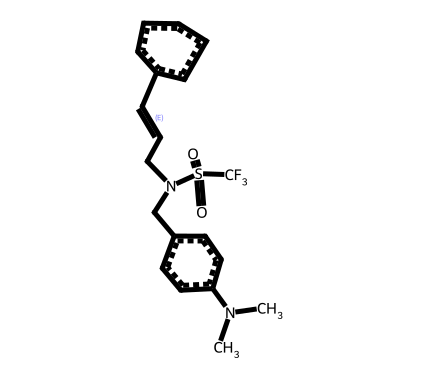 CN(C)c1ccc(CN(C/C=C/c2ccccc2)S(=O)(=O)C(F)(F)F)cc1